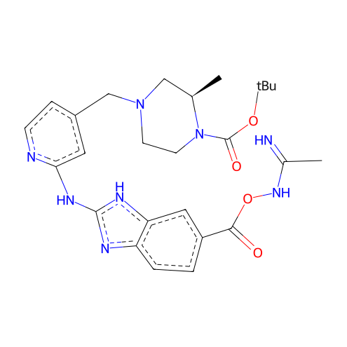 CC(=N)NOC(=O)c1ccc2nc(Nc3cc(CN4CCN(C(=O)OC(C)(C)C)[C@H](C)C4)ccn3)[nH]c2c1